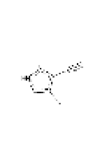 [C]#Cc1n[nH]cc1C